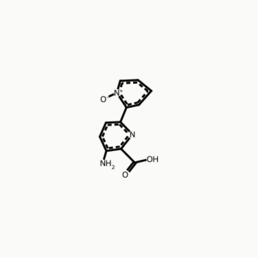 Nc1ccc(-c2cccc[n+]2[O-])nc1C(=O)O